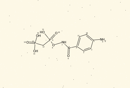 Nc1ccc(C(=O)NOP(=O)(O)CP(=O)(O)O)cc1